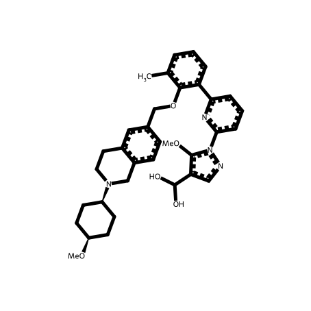 COc1c(C(O)O)cnn1-c1cccc(-c2cccc(C)c2OCc2ccc3c(c2)CCN([C@H]2CC[C@@H](OC)CC2)C3)n1